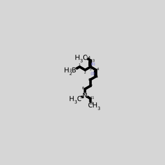 BCCC(/C=C\CCCN(C)CC)=C\C